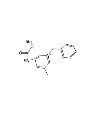 Cc1cc(NC(=O)OC(C)(C)C)c[n+](Cc2ccccc2)c1